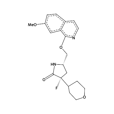 COc1ccc2ccnc(OC[C@@H]3C[C@@](F)(C4CCOCC4)C(=O)N3)c2c1